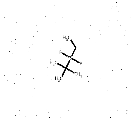 CCS(F)(F)C(C)(C)C